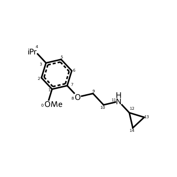 COc1cc(C(C)C)ccc1OCCNC1CC1